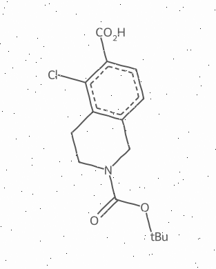 CC(C)(C)OC(=O)N1CCc2c(ccc(C(=O)O)c2Cl)C1